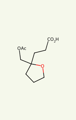 CC(=O)OCC1(CCC(=O)O)CCCO1